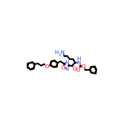 NCCCCC(NC(=O)OCc1ccccc1)C(=O)c1noc(Cc2ccc(OCCCc3ccccc3)cc2)n1